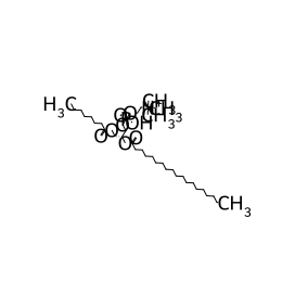 CCCCCCCCCCCCCCCCCCC(=O)O[C@H](COC(=O)CCCCCCC)COP(=O)(O)OCC[N+](C)(C)C